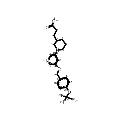 O=C(O)CCC1CCCN(c2cncc(OCc3ccc(OC(F)(F)F)cc3)c2)C1